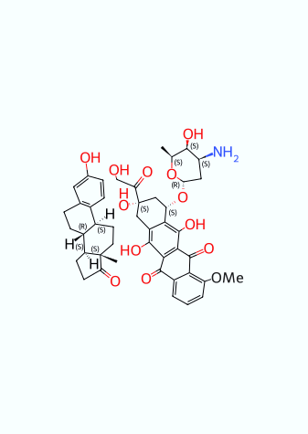 COc1cccc2c1C(=O)c1c(O)c3c(c(O)c1C2=O)C[C@@](O)(C(=O)CO)C[C@@H]3O[C@H]1C[C@H](N)[C@H](O)[C@H](C)O1.C[C@]12CC[C@@H]3c4ccc(O)cc4CC[C@H]3[C@@H]1CCC2=O